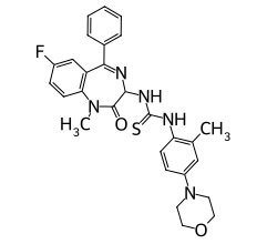 Cc1cc(N2CCOCC2)ccc1NC(=S)NC1N=C(c2ccccc2)c2cc(F)ccc2N(C)C1=O